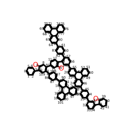 c1ccc2c(c1)oc1cc(-c3ccc4c(c3)oc3c(-c5ccc6c7ccc(-c8ccc(-c9cccc%10c9oc9ccccc9%10)cc8)cc7c7ccccc7c6c5)ccc(-c5ccc(-c6ccc7c8ccccc8c8ccccc8c7c6)cc5)c34)c(-c3ccc(-c4ccc5c6ccccc6c6ccccc6c5c4)cc3)cc12